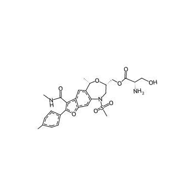 CNC(=O)c1c(-c2ccc(C)cc2)oc2cc3c(cc12)[C@H](C)O[C@H](COC(=O)[C@@H](N)CO)CN3S(C)(=O)=O